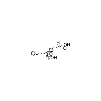 O=C(O)C(F)(F)F.O=C(O)CCNCCc1ccc(OCCCCCCc2ccccc2)cc1